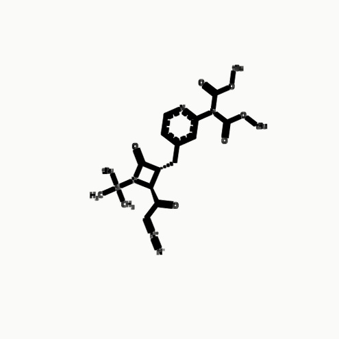 CC(C)(C)OC(=O)N(C(=O)OC(C)(C)C)c1cc(C[C@H]2C(=O)N([Si](C)(C)C(C)(C)C)[C@@H]2C(=O)C=[N+]=[N-])ccn1